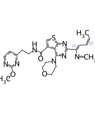 C=N/C(=C\C=C/C)c1nc(N2CCOCC2)c2c(C(=O)NCCc3ccnc(OC)n3)csc2n1